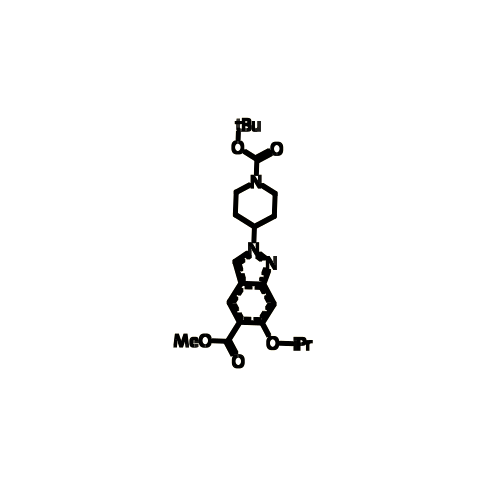 COC(=O)c1cc2cn(C3CCN(C(=O)OC(C)(C)C)CC3)nc2cc1OC(C)C